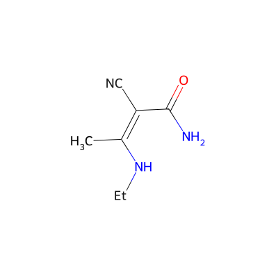 CCN/C(C)=C(/C#N)C(N)=O